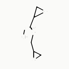 C(OCC1CO1)C1CO1.CCCC(C)C